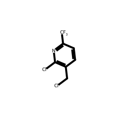 FC(F)(F)c1ccc(CCl)c(Cl)n1